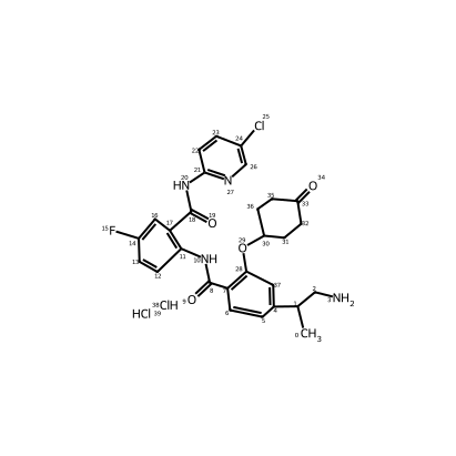 CC(CN)c1ccc(C(=O)Nc2ccc(F)cc2C(=O)Nc2ccc(Cl)cn2)c(OC2CCC(=O)CC2)c1.Cl.Cl